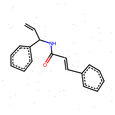 C=CC(NC(=O)C=Cc1ccccc1)c1ccccc1